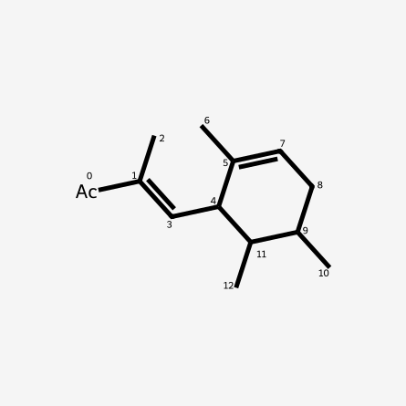 CC(=O)C(C)=CC1C(C)=CCC(C)C1C